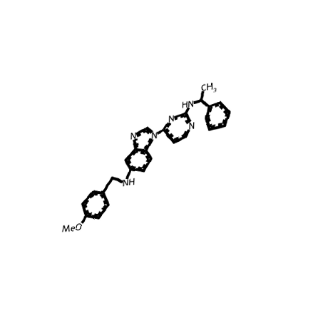 COc1ccc(CNc2ccc3c(c2)ncn3-c2ccnc(NC(C)c3ccccc3)n2)cc1